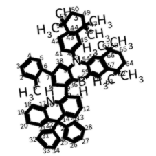 Cc1ccccc1-c1cc(-c2cccc3c2Nc2ccccc2C3(c2ccccc2)c2ccccc2)c2c(c1)N(c1ccc3c(c1)C(C)(C)CCC3(C)C)c1cc3c(cc1B2)C(C)(C)CCC3(C)C